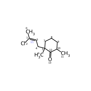 C/C(Cl)=C/CC1(C)CCCC(C)C1=O